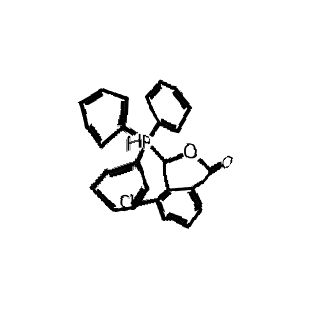 O=C1OC([PH](c2ccccc2)(c2ccccc2)c2ccccc2)c2c(Cl)cccc21